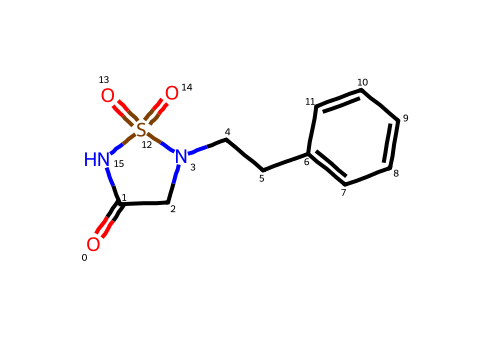 O=C1CN(CCc2ccccc2)S(=O)(=O)N1